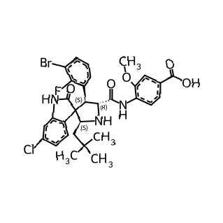 COc1cc(C(=O)O)ccc1NC(=O)[C@@H]1N[C@@H](CC(C)(C)C)C2(C(=O)Nc3cc(Cl)ccc32)[C@H]1c1cccc(Br)c1F